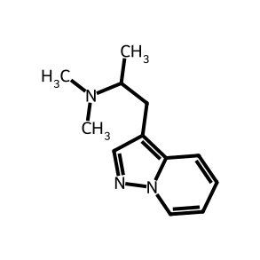 CC(Cc1cnn2ccccc12)N(C)C